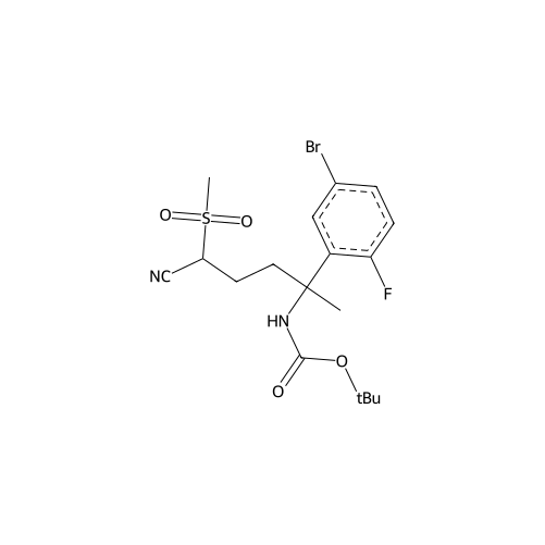 CC(C)(C)OC(=O)NC(C)(CCC(C#N)S(C)(=O)=O)c1cc(Br)ccc1F